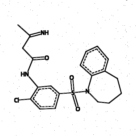 CC(=N)CC(=O)Nc1cc(S(=O)(=O)N2CCCCc3ccccc32)ccc1Cl